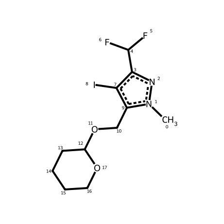 Cn1nc(C(F)F)c(I)c1COC1CCCCO1